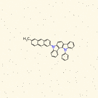 Cc1ccc2cc3cc(-n4c5ccccc5c5c4ccc4c6ccccc6n(-c6ccccc6)c45)ccc3cc2c1